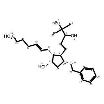 CCCCC(F)(F)C(O)CC[C@@H]1[C@@H](CC=CCCCC(=O)O)[C@@H](O)C[C@H]1OCc1ccccc1